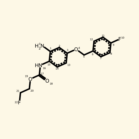 Nc1cc(OCc2ccc(F)cc2)ccc1NC(=O)OCCF